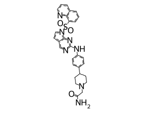 NC(=O)CN1CCC(c2ccc(Nc3ncc4ccn(S(=O)(=O)c5cccc6cccnc56)c4n3)cc2)CC1